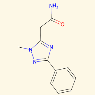 Cn1nc(-c2ccccc2)nc1CC(N)=O